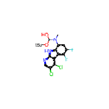 CN(c1cc(F)c(F)c2c1[nH]c1ncc(Cl)c(Cl)c12)C(O)OC(C)(C)C